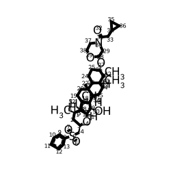 C[C@@H]1C[C@H](CS(=O)(=O)c2ccccc2)O[C@H]2[C@H]1[C@@]1(C)CCC34C[C@@]35CC[C@H](O[C@H]3CN(C(=O)CC6CC6)CCO3)C(C)(C)[C@@H]5CC[C@H]4[C@]1(C)[C@H]2O